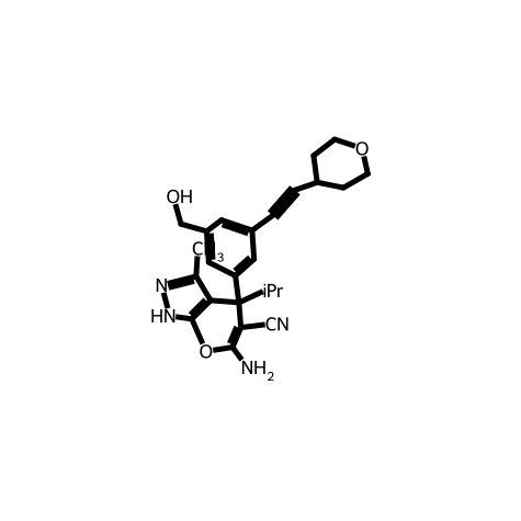 Cc1n[nH]c2c1C(c1cc(C#CC3CCOCC3)cc(CO)c1)(C(C)C)C(C#N)=C(N)O2